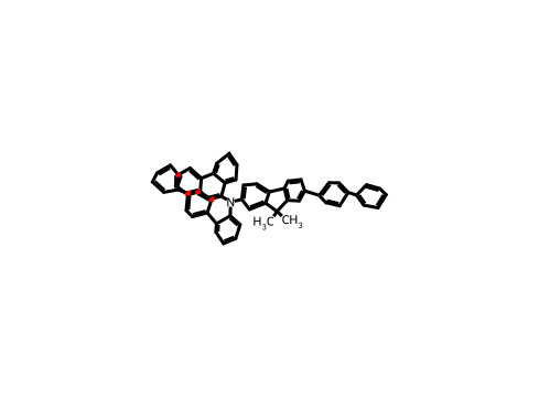 CC1(C)c2cc(-c3ccc(-c4ccccc4)cc3)ccc2-c2ccc(N(c3ccccc3-c3ccc(-c4ccccc4)cc3)c3cc4ccccc4c4ccccc34)cc21